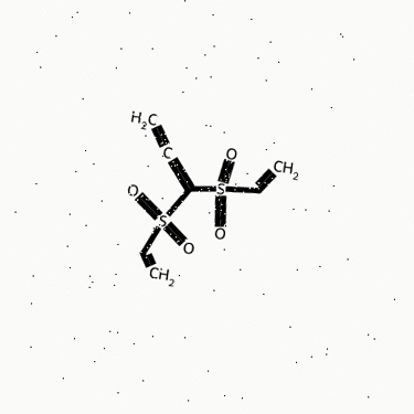 C=C=C(S(=O)(=O)C=C)S(=O)(=O)C=C